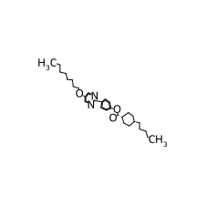 CCCCCCCCOc1cnc(-c2ccc(OC(=O)[C@H]3CC[C@H](CCCCC)CC3)cc2)nc1